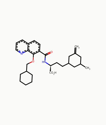 C=C1CC(C)CC(CC[C@H](NC(=O)c2ccc3cccnc3c2OCC2CCCCC2)C(=O)O)C1